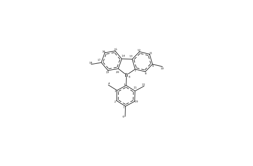 Cc1cc(C)c(B2c3cc(C)ccc3-c3ccc(C)cc32)c(C)c1